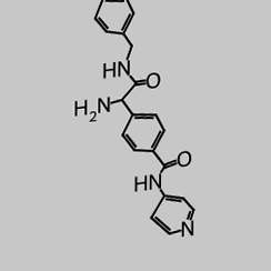 NC(C(=O)NCc1ccccc1)c1ccc(C(=O)Nc2ccncc2)cc1